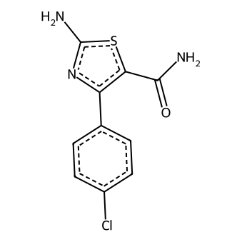 NC(=O)c1sc(N)nc1-c1ccc(Cl)cc1